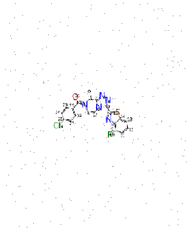 C[C@@H]1c2nnc(-c3nc4c(F)cccc4s3)n2CCN1C(=O)c1ccc(Cl)cc1